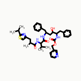 CC(Cc1csc(C(C)C)n1)C(=O)NC(C(=O)NC(Cc1ccccc1)CC(O)C(Cc1ccccc1)NC(=O)OCc1cccnc1)C(C)C